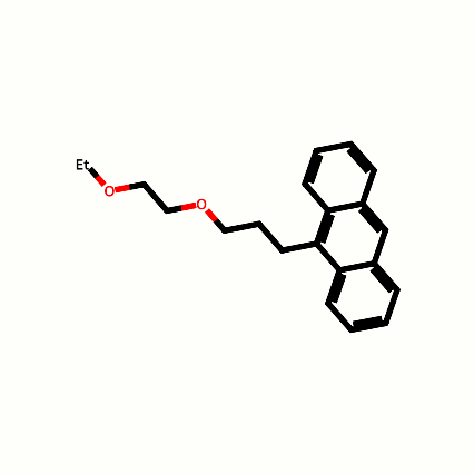 CCOCCOCCCc1c2ccccc2cc2ccccc12